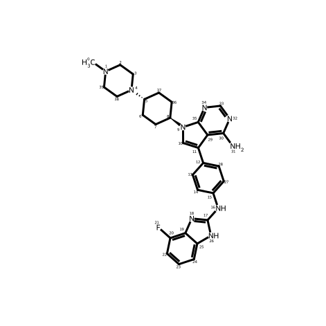 CN1CCN([C@H]2CC[C@H](n3cc(-c4ccc(Nc5nc6c(F)cccc6[nH]5)cc4)c4c(N)ncnc43)CC2)CC1